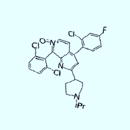 CC(C)N1CCC(c2cc(-c3ccc(F)cc3Cl)c3cc[n+]([O-])c(-c4c(Cl)cccc4Cl)c3n2)CC1